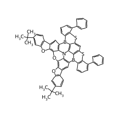 CC(C)(C)c1ccc2c(c1)oc1c3c4c(cc12)B1c2cccc(-c5ccccc5)c2Sc2cc5c6c(c21)N4c1c(cc2c(oc4cc(C(C)(C)C)ccc42)c1O3)B6c1cccc(-c2ccccc2)c1S5